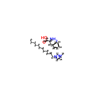 CCCCCCCCCCCCN1C=CN(C)C1.NC(Cc1ccccc1)C(=O)O